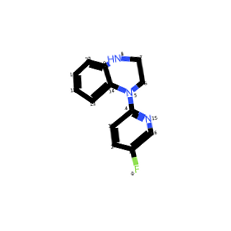 Fc1ccc(N2CCNc3ccccc32)nc1